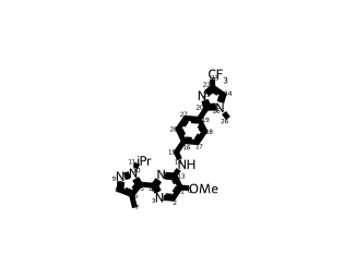 COc1cnc(-c2c(C)cnn2C(C)C)nc1NCc1ccc(-c2nc(C(F)(F)F)cn2C)cc1